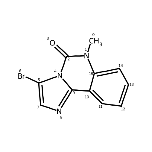 Cn1c(=O)n2c(Br)cnc2c2ccccc21